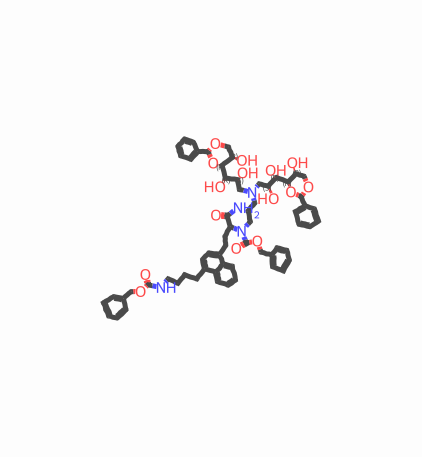 NC(=O)C(CCc1ccc(CCCCNC(=O)OCc2ccccc2)c2ccccc12)N(CCCN(C[C@H](O)[C@@H](O)[C@@H]1OC(c2ccccc2)OC[C@H]1O)C[C@H](O)[C@@H](O)[C@@H]1OC(c2ccccc2)OC[C@H]1O)C(=O)OCc1ccccc1